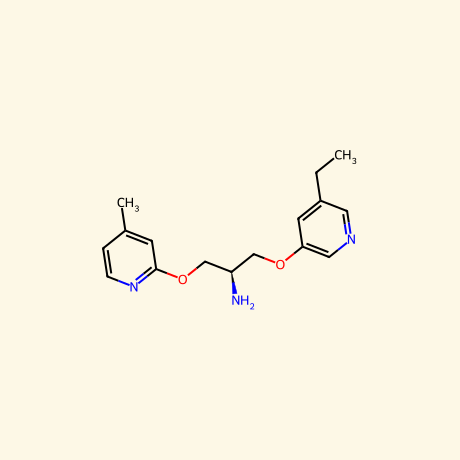 CCc1cncc(OC[C@@H](N)COc2cc(C)ccn2)c1